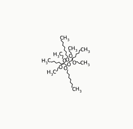 CCCCCCCCCOC(OC(OCCCCCCCCC)C(OCCC)=C(CCCCC)OCCC)C(OCCC)=C(CCCCC)OCCC